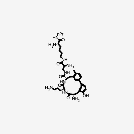 CCCNC(=O)[C@@H](N)CCCCNC(=O)C(N)CNC(=O)[C@@H]1Cc2cc(ccc2C)-c2ccc(O)c(c2)C[C@H](N)C(=O)N[C@@H](CCCN)C(=O)N1